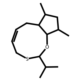 CC(C)C1OC2C(C)CC(C)C2C/C=C\CS1